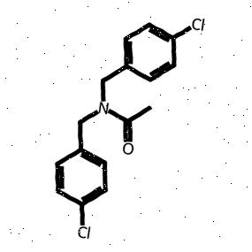 CC(=O)N(Cc1ccc(Cl)cc1)Cc1ccc(Cl)cc1